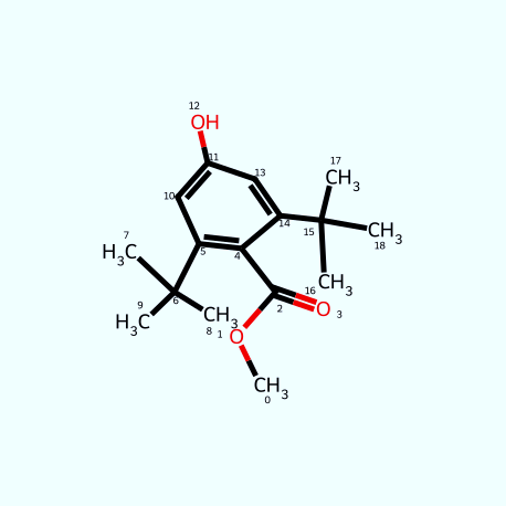 COC(=O)c1c(C(C)(C)C)cc(O)cc1C(C)(C)C